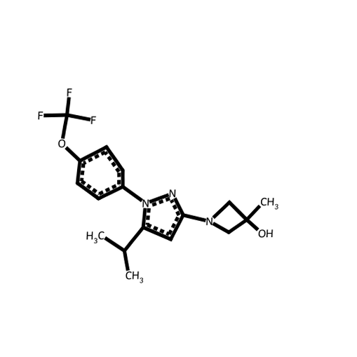 CC(C)c1cc(N2CC(C)(O)C2)nn1-c1ccc(OC(F)(F)F)cc1